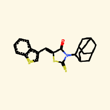 O=C1/C(=C/c2csc3ccccc23)SC(=S)N1C1C2CC3CC(C2)CC1C3